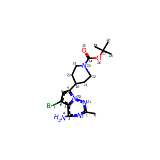 Cc1nc(N)c2c(Br)cc(C3CCN(C(=O)OC(C)(C)C)CC3)n2n1